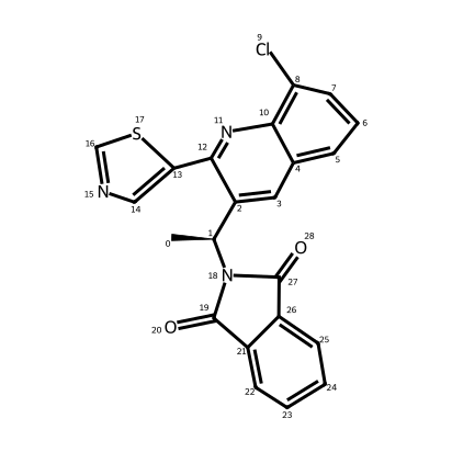 C[C@@H](c1cc2cccc(Cl)c2nc1-c1cncs1)N1C(=O)c2ccccc2C1=O